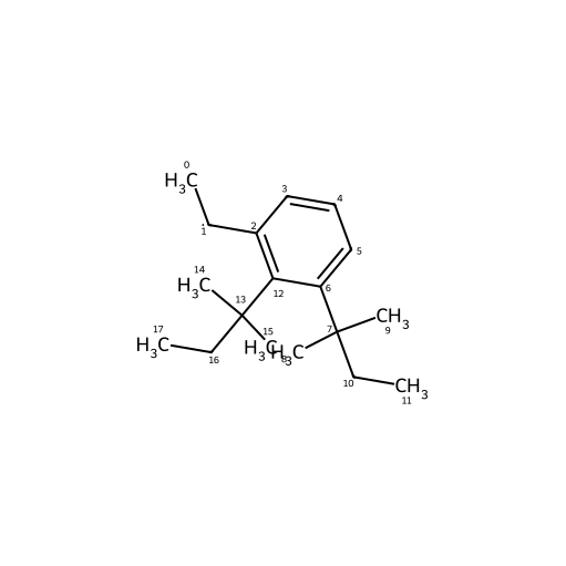 C[CH]c1cccc(C(C)(C)CC)c1C(C)(C)CC